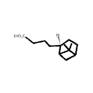 CCOC(=O)CCC[C@H]1CCC2CC1C2(C)C